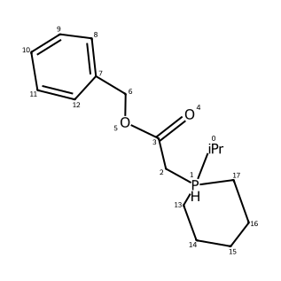 CC(C)[PH]1(CC(=O)OCc2ccccc2)CCCCC1